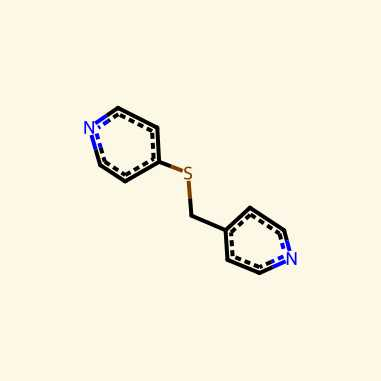 c1cc(CSc2ccncc2)ccn1